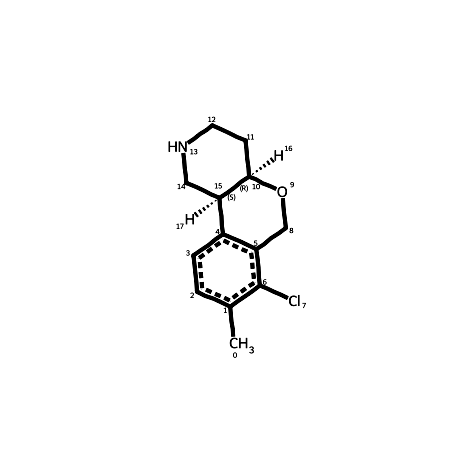 Cc1ccc2c(c1Cl)CO[C@@H]1CCNC[C@H]21